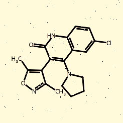 Cc1noc(C)c1-c1c(N2CCCC2)c2cc(Cl)ccc2[nH]c1=O